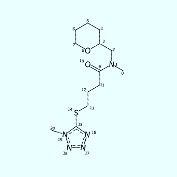 CN(CC1CCCCO1)C(=O)CCCSc1nnnn1C